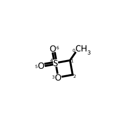 CC1COS1(=O)=O